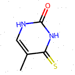 Cc1c[nH]c(=O)[nH]c1=S